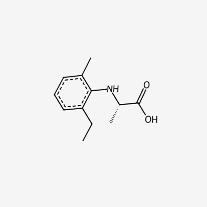 CCc1cccc(C)c1N[C@@H](C)C(=O)O